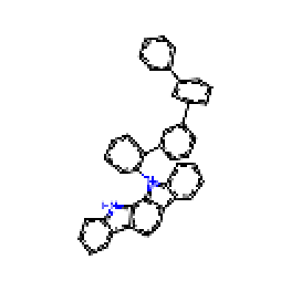 c1ccc(-c2cccc(-c3cccc(-c4ccccc4-n4c5ccccc5c5ccc6c7ccccc7[nH]c6c54)c3)c2)cc1